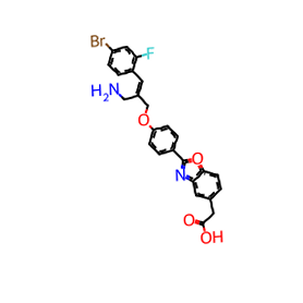 NCC(=Cc1ccc(Br)cc1F)COc1ccc(-c2nc3cc(CC(=O)O)ccc3o2)cc1